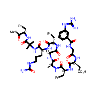 CC[C@H](NC(=O)[C@H](C)NC(=O)[C@H](CC(C)C)NC(=O)[C@H](CC(=O)O)NC(=O)CNC(=O)c1cccc(NC(=N)N)c1)C(=O)N[C@@H](CC(C)C)C(=O)N[C@@H](CCCNC(N)=O)C(=O)NC(C)(C)C(=O)N[C@@H](CC(C)C)C(=O)NC